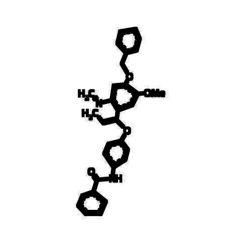 C=Nc1cc(OCc2ccccc2)c(OC)cc1/C(=C\C)Oc1ccc(NC(=O)c2ccccc2)cc1